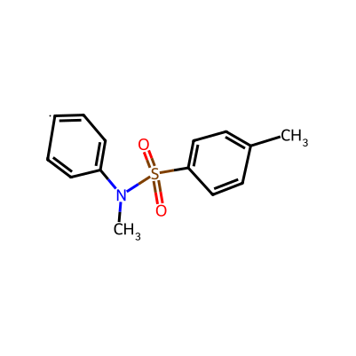 Cc1ccc(S(=O)(=O)N(C)c2cc[c]cc2)cc1